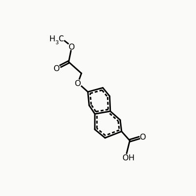 COC(=O)COc1ccc2cc(C(=O)O)ccc2c1